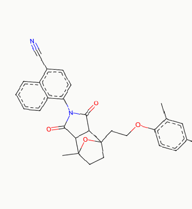 Cc1ccc(OCCC23CCC(C)(O2)C2C(=O)N(c4ccc(C#N)c5ccccc45)C(=O)C23)c(C)c1